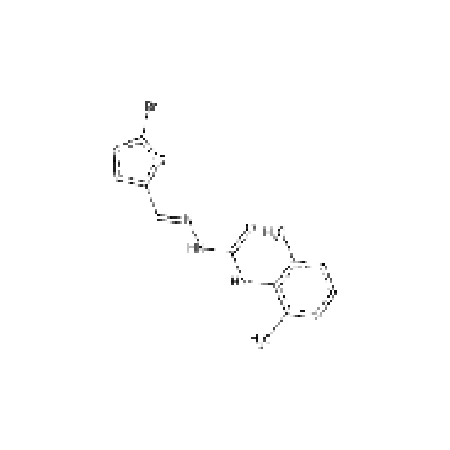 Cc1cccc(C)c1NC(=O)N/N=C/c1ccc(Br)s1